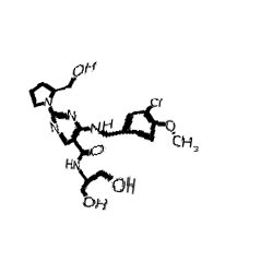 COc1ccc(CNc2nc(N3CCC[C@H]3CO)ncc2C(=O)NC(CO)CO)cc1Cl